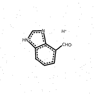 O=[C]c1cccc2[nH]cnc12.[H+]